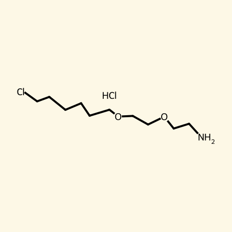 Cl.NCCOCCOCCCCCCCl